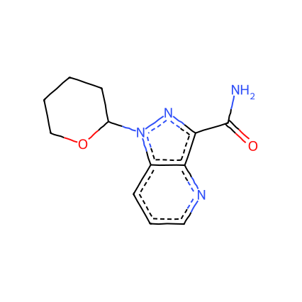 NC(=O)c1nn(C2CCCCO2)c2cccnc12